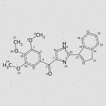 COc1cc(C(=O)c2c[nH]c(C3=CCc4ccccc43)n2)cc(OC)c1OC